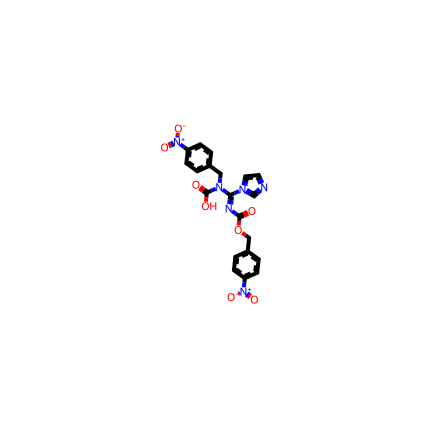 O=C(N=C(N(Cc1ccc([N+](=O)[O-])cc1)C(=O)O)n1ccnc1)OCc1ccc([N+](=O)[O-])cc1